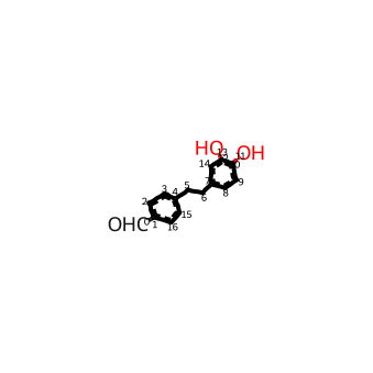 O=Cc1ccc(CCc2ccc(O)c(O)c2)cc1